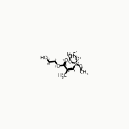 CO[Si](C=C(C)C(=O)OCCO)(OC)OC